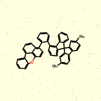 CC(C)(C)c1ccc2c(c1)C1(c3cc(C(C)(C)C)ccc3-2)c2ccccc2-c2c(-c3ccccc3-c3ccc4c5c(cccc35)-c3ccccc3O4)cccc21